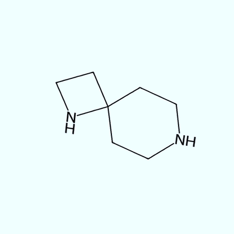 C1CC2(CCN1)CCN2